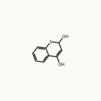 OC1=CC(O)Sc2ccccc21